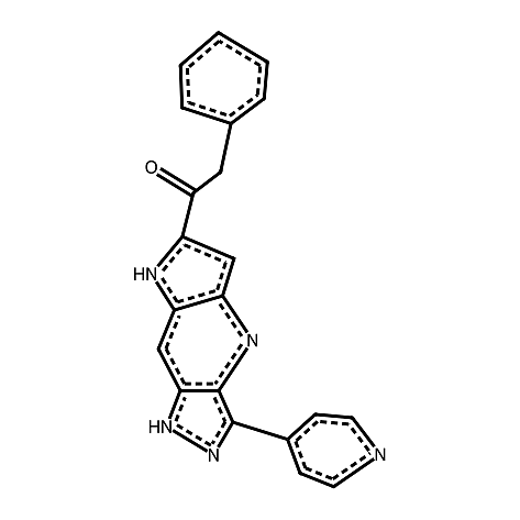 O=C(Cc1ccccc1)c1cc2nc3c(-c4ccncc4)n[nH]c3cc2[nH]1